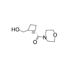 O=C([C@H]1CCC1CO)N1CCOCC1